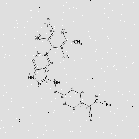 CC1=C(C#N)C(c2ccc3[nH]nc(NCC4CCN(C(=O)OC(C)(C)C)CC4)c3c2)C(C#N)=C(C)N1